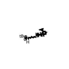 CC(C)(C)OC(=O)NCCCCCCn1cc(-c2cnc3cccc(C4CC4)c3n2)cn1